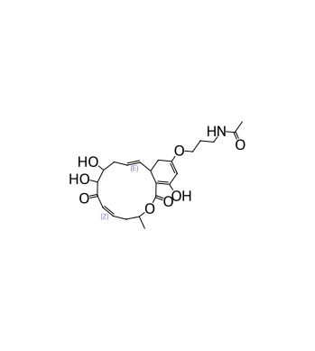 CC(=O)NCCCOC1=CC(O)=C2C(=O)OC(C)C/C=C\C(=O)C(O)C(O)C/C=C/C2C1